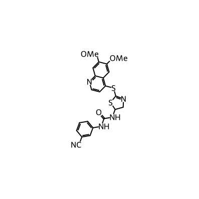 COc1cc2nccc(SC3=NCC(NC(=O)Nc4cccc(C#N)c4)S3)c2cc1OC